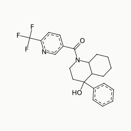 O=C(c1ccc(C(F)(F)F)nc1)N1CCC(O)(c2ccccc2)C2CCCCC21